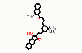 CC1(C)CC(/C=C/C2=C(O)c3cc4ccccc4cc3C2=O)=CC(=C/C=C\C(=O)c2cc3ccccc3cc2C=O)/C1